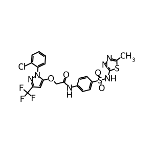 Cc1nnc(NS(=O)(=O)c2ccc(NC(=O)COc3cc(C(F)(F)F)nn3-c3ccccc3Cl)cc2)s1